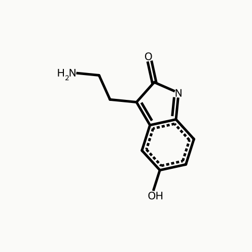 NCCC1=c2cc(O)ccc2=NC1=O